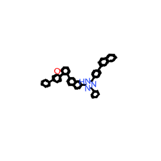 c1ccc(C2=NC(c3ccc(-c4ccc5ccccc5c4)cc3)NC(c3ccc4ccc(-c5cccc6oc7cc(-c8ccccc8)ccc7c56)cc4c3)=N2)cc1